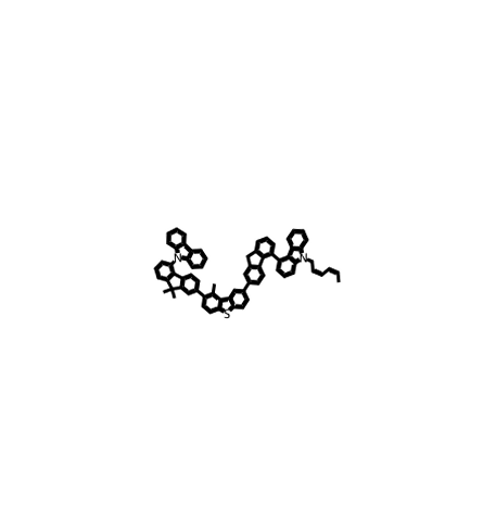 C/C=C\C=C/Cn1c2ccccc2c2c(-c3cccc4c3-c3ccc(-c5ccc6sc7ccc(-c8ccc9c(c8)C(C)(C)c8cccc(-n%10c%11ccccc%11c%11ccccc%11%10)c8-9)c(C)c7c6c5)cc3C4)cccc21